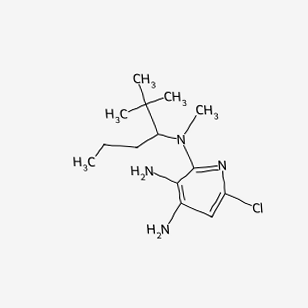 CCCC(N(C)c1nc(Cl)cc(N)c1N)C(C)(C)C